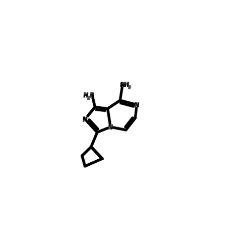 Bc1nc(C2CCC2)n2ccnc(N)c12